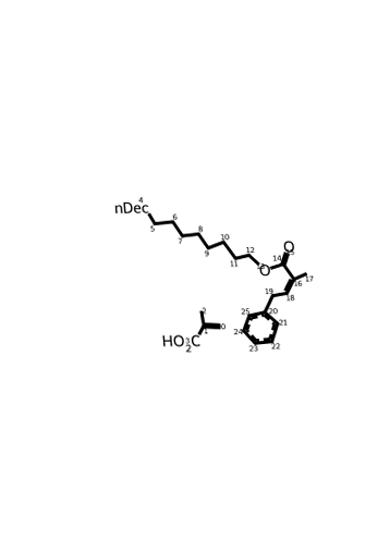 C=C(C)C(=O)O.CCCCCCCCCCCCCCCCCCOC(=O)C(C)=CCc1ccccc1